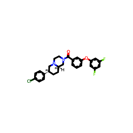 O=C(c1cccc(Oc2cc(F)cc(F)c2)c1)N1CCN2C[C@@H](c3ccc(Cl)cc3)CC[C@@H]2C1